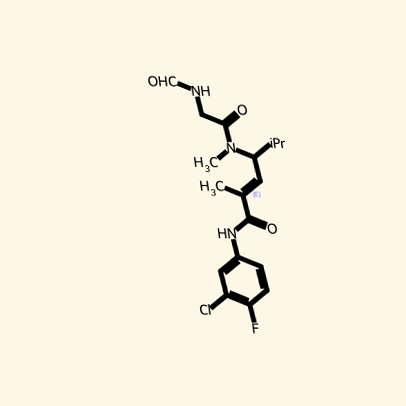 C/C(=C\C(C(C)C)N(C)C(=O)CNC=O)C(=O)Nc1ccc(F)c(Cl)c1